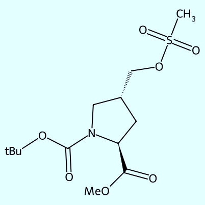 COC(=O)[C@@H]1C[C@@H](COS(C)(=O)=O)CN1C(=O)OC(C)(C)C